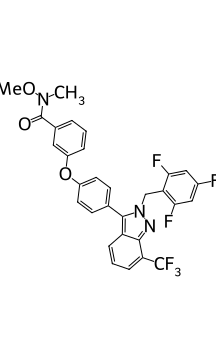 CON(C)C(=O)c1cccc(Oc2ccc(-c3c4cccc(C(F)(F)F)c4nn3Cc3c(F)cc(F)cc3F)cc2)c1